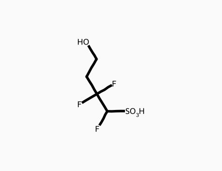 O=S(=O)(O)C(F)C(F)(F)CCO